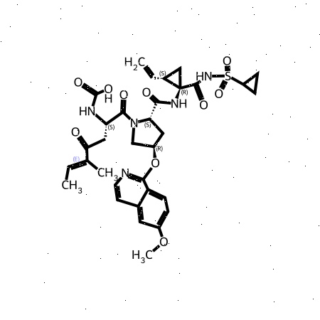 C=C[C@@H]1C[C@]1(NC(=O)[C@@H]1C[C@@H](Oc2nccc3cc(OC)ccc23)CN1C(=O)[C@H](CC(=O)/C(C)=C/C)NC(=O)O)C(=O)NS(=O)(=O)C1CC1